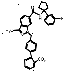 Cc1nn(Cc2ccc(-c3ccccc3C(=O)O)cc2)c2cc(C(=O)NC3(c4cccc(C(C)C)c4)CCCC3)ccc12